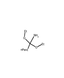 CCCCCC(N)(OCC)OCC